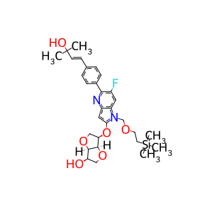 CC(C)(O)/C=C/c1ccc(-c2nc3cc(O[C@@H]4CO[C@H]5[C@@H]4OC[C@H]5O)n(COCC[Si](C)(C)C)c3cc2F)cc1